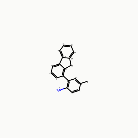 Cc1ccc(N)c(-c2cccc3c2Cc2ccccc2-3)c1